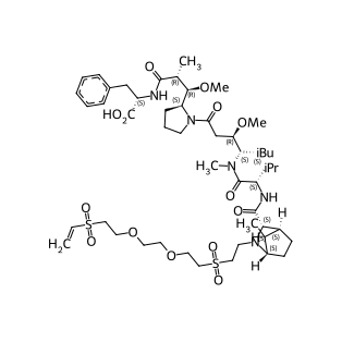 C=CS(=O)(=O)CCOCCOCCS(=O)(=O)CCN1[C@H](C(=O)N[C@H](C(=O)N(C)[C@@H]([C@@H](C)CC)[C@@H](CC(=O)N2CCC[C@H]2[C@H](OC)[C@@H](C)C(=O)N[C@@H](Cc2ccccc2)C(=O)O)OC)C(C)C)[C@H]2CC[C@H]1[C@H]2C